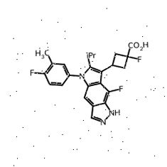 Cc1cc(-n2c(C(C)C)c(C3CC(F)(C(=O)O)C3)c3c(F)c4[nH]ncc4cc32)ccc1F